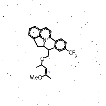 CO/C(C)=C\C(C)OCC1c2cc(C(F)(F)F)ccc2-c2ccc3cccc4c3[n+]2C1C4